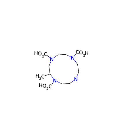 CC1CN(C(=O)O)CCN(C(=O)O)CC[N]CCN1C(=O)O